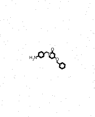 Nc1ccc(Cn2ccc(OCc3ccccc3)cc2=O)cc1